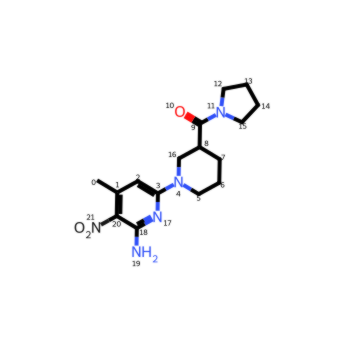 Cc1cc(N2CCCC(C(=O)N3CCCC3)C2)nc(N)c1[N+](=O)[O-]